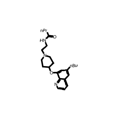 CCCCc1cc(OC2CCN(CCNC(=O)CCC)CC2)c2ncccc2c1